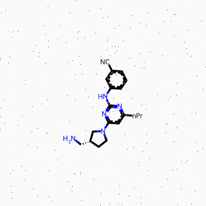 CCCc1cc(N2CC[C@H](CN)C2)nc(Nc2cccc(C#N)c2)n1